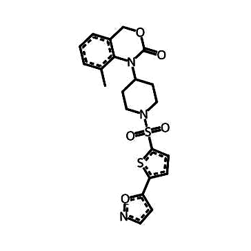 Cc1cccc2c1N(C1CCN(S(=O)(=O)c3ccc(-c4ccno4)s3)CC1)C(=O)OC2